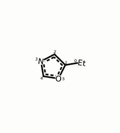 [CH2]Cc1cnco1